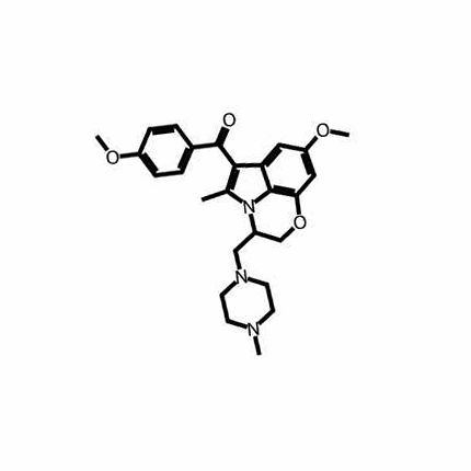 COc1ccc(C(=O)c2c(C)n3c4c(cc(OC)cc24)OCC3CN2CCN(C)CC2)cc1